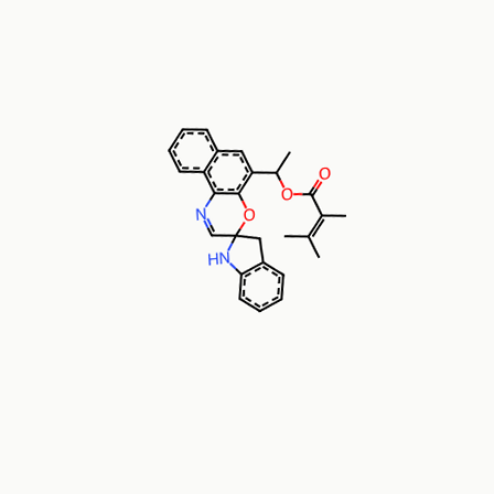 CC(C)=C(C)C(=O)OC(C)c1cc2ccccc2c2c1OC1(C=N2)Cc2ccccc2N1